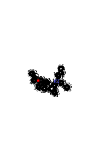 CC1(C)c2ccccc2-c2ccc(/C(=C/c3ccc4c(c3)CC(c3cccc5c3-c3ccccc3C53c5ccccc5-c5c(-c6cccc7c6sc6ccccc67)cccc53)=Cc3ccccc3-4)c3ccc(-c4ccccc4)cc3)cc21